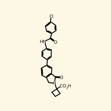 O=C(Nc1ccc(-c2ccc3c(c2)C(=O)N(C2(C(=O)O)CCC2)C3)cc1)c1ccc(Cl)cc1